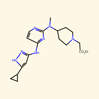 CCOC(=O)CN1CCC(N(C)c2nccc(Nc3cc(C4CC4)[nH]n3)n2)CC1